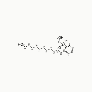 O=S(=O)(CO)c1ccccc1CCCCCCCCCCCO